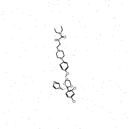 CCN(CC)C(=O)NCCN1CCN(c2ccc(OC[C@@H]3CO[C@@](Cn4ccnc4)(c4ccc(Cl)cc4Cl)O3)cc2)CC1